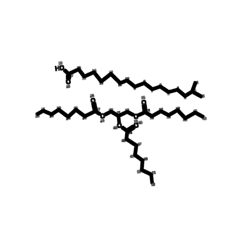 CC(C)CCCCCCCCCCCCCCC(=O)O.CCCCCCCC(=O)OCC(COC(=O)CCCCCCC)OC(=O)CCCCCCC